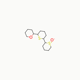 [O-][S+]1CCCCC1C1CCCC(C2CCCCO2)S1